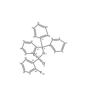 O=S(=O)(OS(c1ccccc1)(c1ccccc1)c1ccccc1)c1ccccc1F